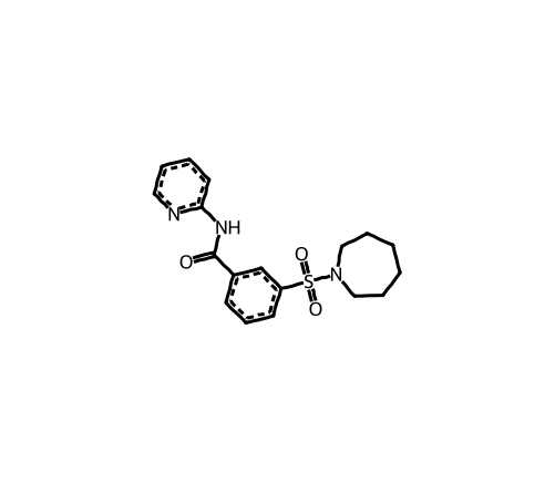 O=C(Nc1ccccn1)c1cccc(S(=O)(=O)N2CCCCCC2)c1